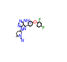 C[C@@H]1CC[C@H](n2nc(-c3ccc(Oc4ccc(F)cc4F)cc3)c3c(N)ncnc32)CN1C#N